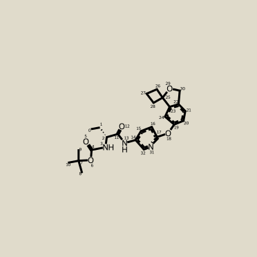 CC[C@@H](NC(=O)OC(C)(C)C)C(=O)Nc1ccc(Oc2ccc3c(c2)C2(CCC2)OC3)nc1